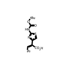 CC(C)/C=C(\C(=O)O)c1csc(NC(=O)OC(C)(C)C)n1